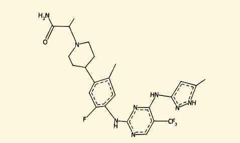 Cc1cc(Nc2nc(Nc3cc(C)c(C4CCN(C(C)C(N)=O)CC4)cc3F)ncc2C(F)(F)F)n[nH]1